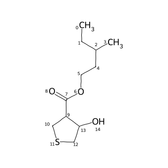 CCC(C)CCOC(=O)C1CSCC1O